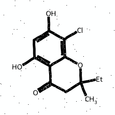 CCC1(C)CC(=O)c2c(O)cc(O)c(Cl)c2O1